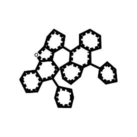 c1ccc(-c2c3ccccc3c(-c3cccc4oc5c6ccccc6c(-c6ccccc6)cc5c34)c3ccccc23)cc1